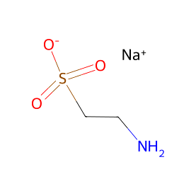 NCCS(=O)(=O)[O-].[Na+]